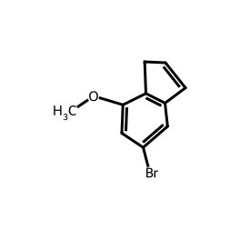 COc1cc(Br)cc2c1CC=C2